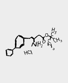 CC(C)(C)OC(=O)CC(N)Cc1ccc(-c2ccccc2)cc1.Cl